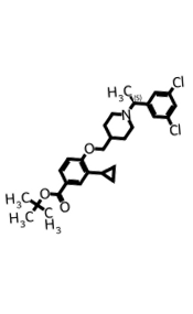 C[C@@H](c1cc(Cl)cc(Cl)c1)N1CCC(COc2ccc(C(=O)OC(C)(C)C)cc2C2CC2)CC1